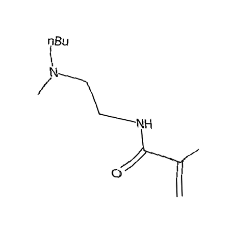 C=C(C)C(=O)NCCN(C)CCCC